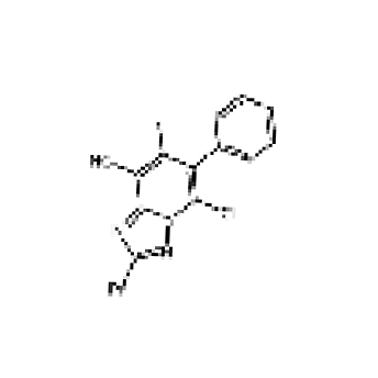 Cc1c(-c2ccccc2)c(Cl)n2nc(C(C)C)nc2c1C#N